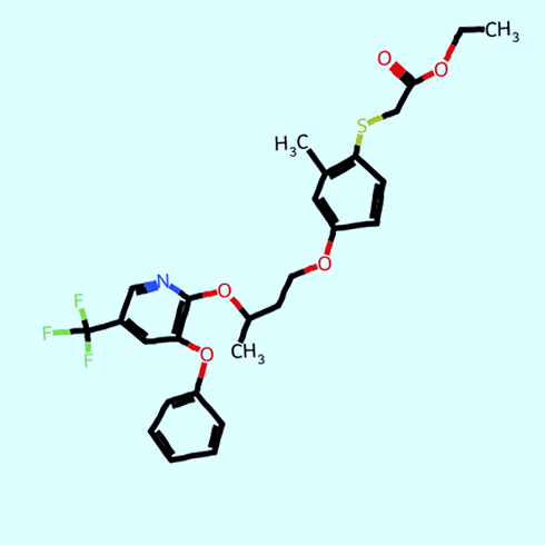 CCOC(=O)CSc1ccc(OCCC(C)Oc2ncc(C(F)(F)F)cc2Oc2ccccc2)cc1C